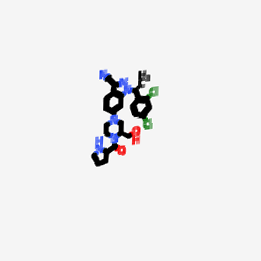 C[C@H](c1ccc(Cl)cc1Cl)n1nc(C#N)c2ccc(N3CCN(C(=O)C4CCCN4)[C@H](CO)C3)cc21